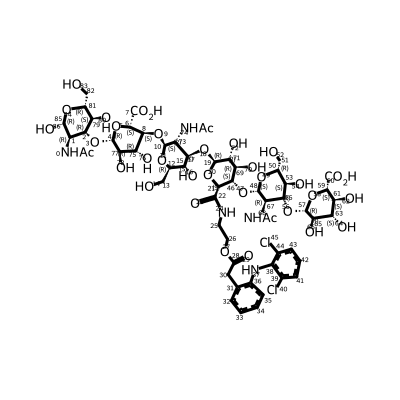 CC(=O)N[C@@H]1[C@@H](O[C@@H]2O[C@H](C(=O)O)[C@@H](O[C@@H]3O[C@H](CO)[C@@H](O)[C@H](O[C@@H]4O[C@H](C(=O)NCCOC(=O)Cc5ccccc5Nc5c(Cl)cccc5Cl)[C@@H](O[C@@H]5O[C@H](CO)[C@@H](O)[C@H](O[C@@H]6O[C@H](C(=O)O)[C@@H](O)[C@H](O)[C@H]6O)[C@H]5NC(C)=O)[C@H](O)[C@H]4O)[C@H]3NC(C)=O)[C@H](O)[C@H]2O)[C@H](O)[C@@H](CO)O[C@H]1O